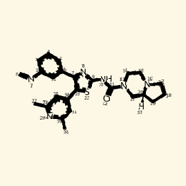 C=Nc1cccc(-c2nc(NC(=O)N3CCN4CCC[C@@H]4C3)sc2-c2cc(C)nc(C)c2)c1